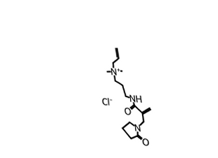 C=CC[N+](C)(C)CCCNC(=O)C(=C)CN1CCCC1=O.[Cl-]